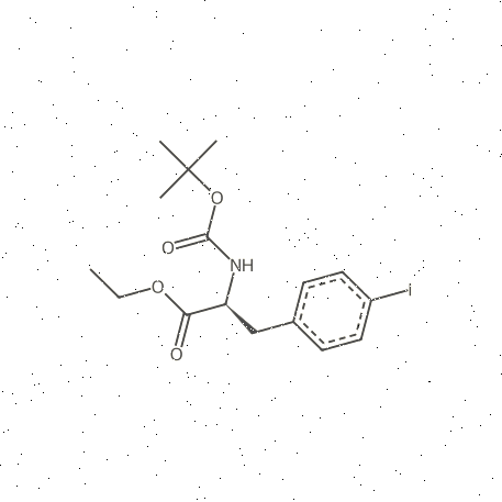 CCOC(=O)[C@H](Cc1ccc(I)cc1)NC(=O)OC(C)(C)C